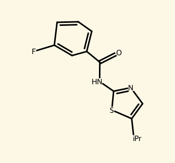 CC(C)c1cnc(NC(=O)c2cccc(F)c2)s1